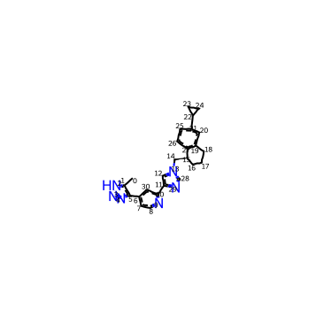 Cc1[nH]nnc1-c1ccnc(-c2cn(C[C@@H]3CCCc4cc(C5CC5)ccc43)cn2)c1